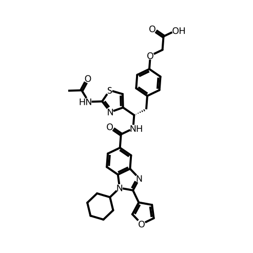 CC(=O)Nc1nc([C@H](Cc2ccc(OCC(=O)O)cc2)NC(=O)c2ccc3c(c2)nc(-c2ccoc2)n3C2CCCCC2)cs1